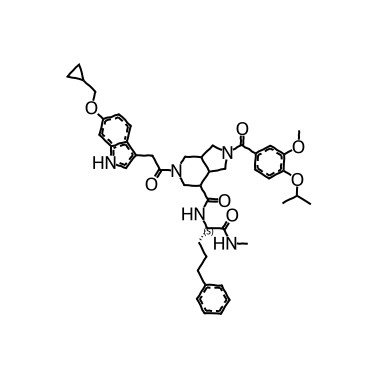 CNC(=O)[C@H](CCCc1ccccc1)NC(=O)C1CN(C(=O)Cc2c[nH]c3cc(OCC4CC4)ccc23)CC2CN(C(=O)c3ccc(OC(C)C)c(OC)c3)CC21